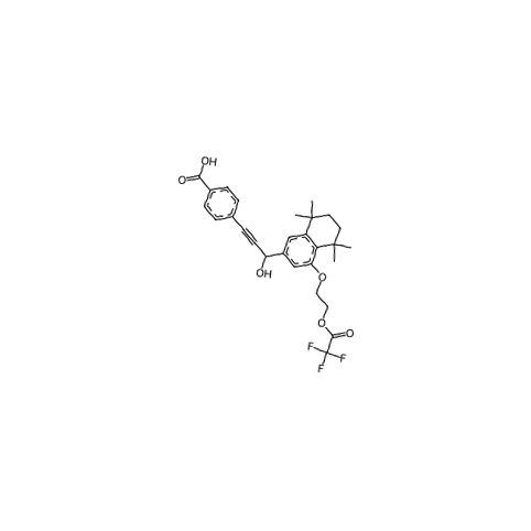 CC1(C)CCC(C)(C)c2c(OCCOC(=O)C(F)(F)F)cc(C(O)C#Cc3ccc(C(=O)O)cc3)cc21